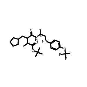 CC(C(=O)OC(C)(C)C)C(CC1CCCC1)C(=O)N[C@@H](C)CNc1ccc(OC(F)(F)F)cc1